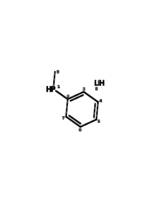 CPc1ccccc1.[LiH]